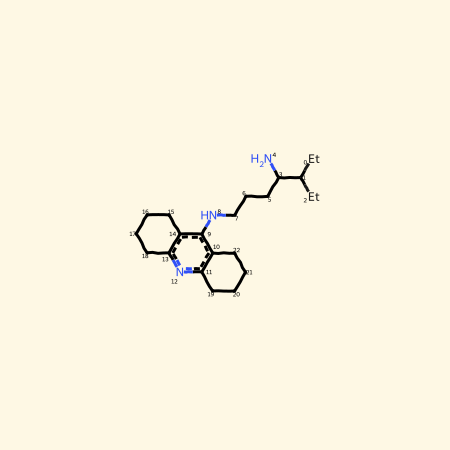 CCC(CC)C(N)CCCNc1c2c(nc3c1CCCC3)CCCC2